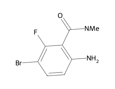 CNC(=O)c1c(N)ccc(Br)c1F